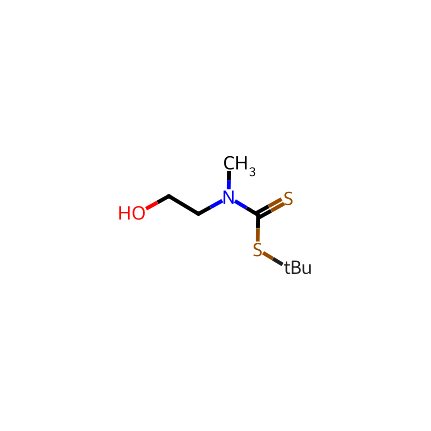 CN(CCO)C(=S)SC(C)(C)C